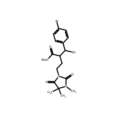 COC(=O)C(CCN1C(=O)N(C)C(C)(C)C1=O)C(S)c1ccc(Br)cc1